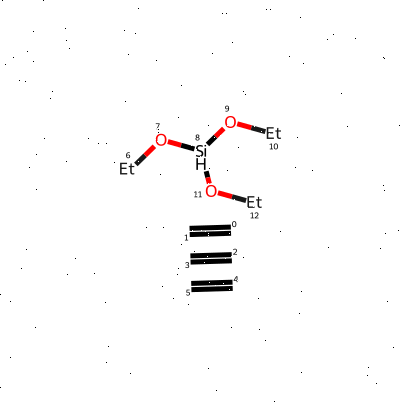 C=C.C=C.C=C.CCO[SiH](OCC)OCC